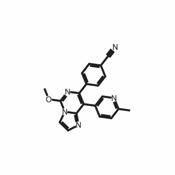 COc1nc(-c2ccc(C#N)cc2)c(-c2ccc(C)nc2)c2nccn12